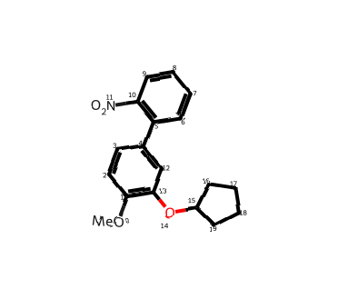 COc1ccc(-c2[c]cccc2[N+](=O)[O-])cc1OC1CCCC1